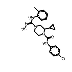 Cc1ccccc1N/C(=N/C#N)N1CCN(C(=O)Nc2ccc(Cl)cc2)C(C2CC2)C1